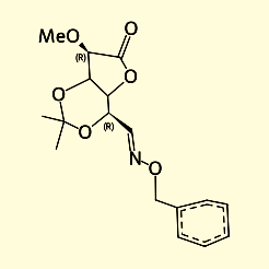 CO[C@H]1C(=O)OC2C1OC(C)(C)O[C@@H]2C=NOCc1ccccc1